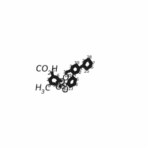 Cc1cc(CC(=O)O)cc(OS(=O)(=O)c2ccccc2OCc2ccc(-c3ccccc3)cc2)c1